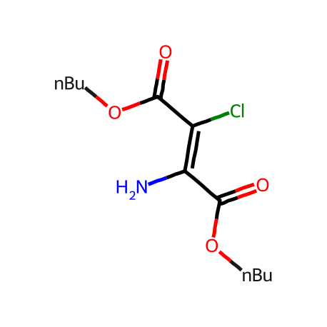 CCCCOC(=O)C(N)=C(Cl)C(=O)OCCCC